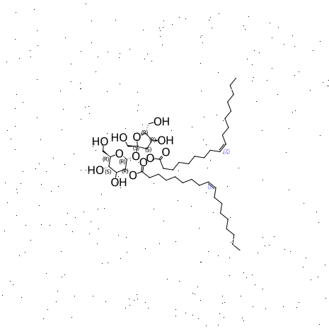 CCCCCCCC/C=C\CCCCCCCC(=O)O[C@@H]1C(O)[C@H](O)[C@@H](CO)O[C@@H]1O[C@]1(CO)O[C@H](CO)[C@@H](O)[C@@H]1OC(=O)CCCCCCC/C=C\CCCCCCCC